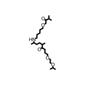 CC(CCC(C)C(=O)CCCOCCOC(C)C)NCCCCCOCC(=O)C(C)C